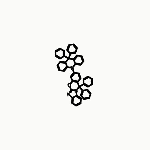 c1ccc(C2(c3ccccc3)c3ccccc3N(c3ccc4c(c3)Oc3nc5ccccc5n3C4(c3ccccc3)c3ccccc3)c3ccccc32)cc1